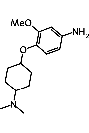 COc1cc(N)ccc1OC1CCC(N(C)C)CC1